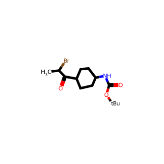 CC(Br)C(=O)C1CCC(NC(=O)OC(C)(C)C)CC1